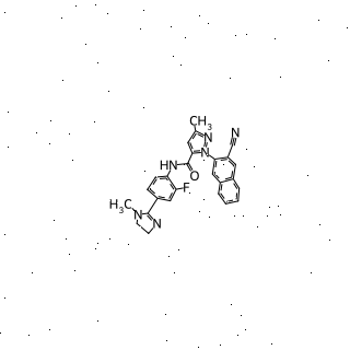 Cc1cc(C(=O)Nc2ccc(C3=NCCN3C)cc2F)n(-c2cc3ccccc3cc2C#N)n1